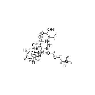 CCC(C(=O)O)n1nc(OCOCC[Si](C)(C)C)c(N[C@@H]2C[C@@H]3C[C@H]([C@H]2C)C3(C)C)c(Cl)c1=O